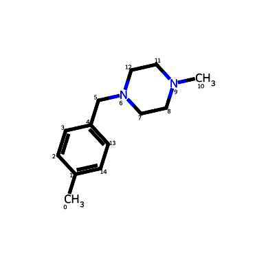 Cc1ccc(CN2CCN(C)CC2)cc1